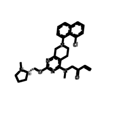 C=CC(=O)CN(C)c1nc(OC[C@@H]2CCCN2C)nc2c1CCN(c1cccc3cccc(Cl)c13)C2